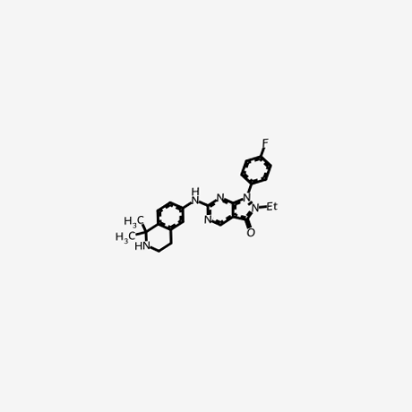 CCn1c(=O)c2cnc(Nc3ccc4c(c3)CCNC4(C)C)nc2n1-c1ccc(F)cc1